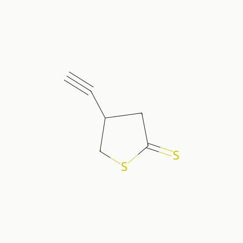 C#CC1CSC(=S)C1